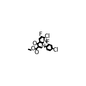 CCOC(=O)c1cn(-c2ccc(Cl)cc2F)c2nc(Cl)c(F)cc2c1=O